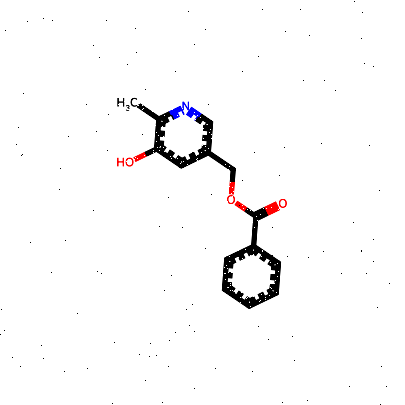 Cc1ncc(COC(=O)c2ccccc2)cc1O